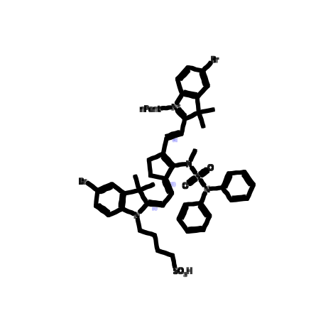 CCCCC[N+]1=C(/C=C/C2=C(N(C)S(=O)(=O)N(c3ccccc3)c3ccccc3)C(=C/C=C3/N(CCCCS(=O)(=O)O)c4ccc(Br)cc4C3(C)C)/CC2)C(C)(C)c2cc(Br)ccc21